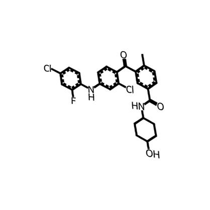 Cc1ccc(C(=O)NC2CCC(O)CC2)cc1C(=O)c1ccc(Nc2ccc(Cl)cc2F)cc1Cl